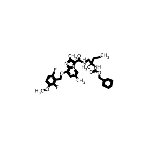 CCCC(C)(CNC(=O)c1c(C)nc2c(OCc3c(F)ccc(OC)c3F)cc(C)cn12)NC(=O)OCc1ccccc1